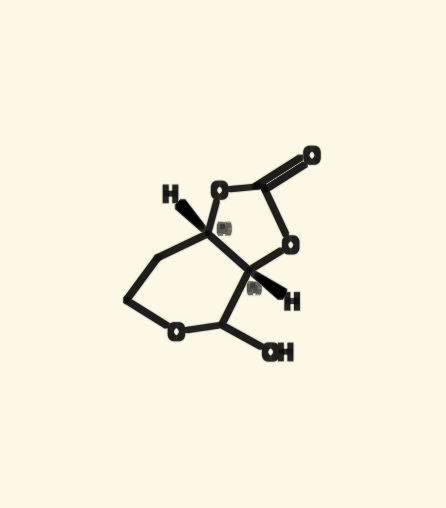 O=C1O[C@H]2CCOC(O)[C@H]2O1